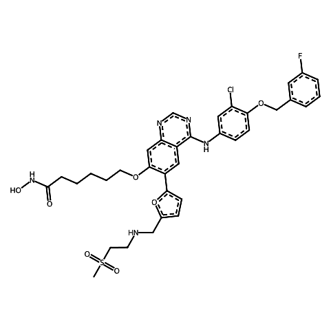 CS(=O)(=O)CCNCc1ccc(-c2cc3c(Nc4ccc(OCc5cccc(F)c5)c(Cl)c4)ncnc3cc2OCCCCCC(=O)NO)o1